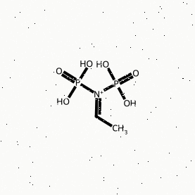 CC=[N+](P(=O)(O)O)P(=O)(O)O